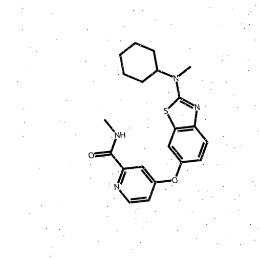 CNC(=O)c1cc(Oc2ccc3nc(N(C)C4CCCCC4)sc3c2)ccn1